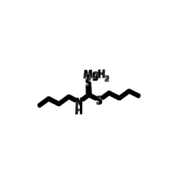 CCCCNC(=S)SCCCC.[MgH2]